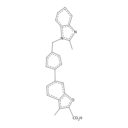 Cc1c(C(=O)O)oc2cc(-c3ccc(Cn4c(C)nc5ccccc54)cc3)ccc12